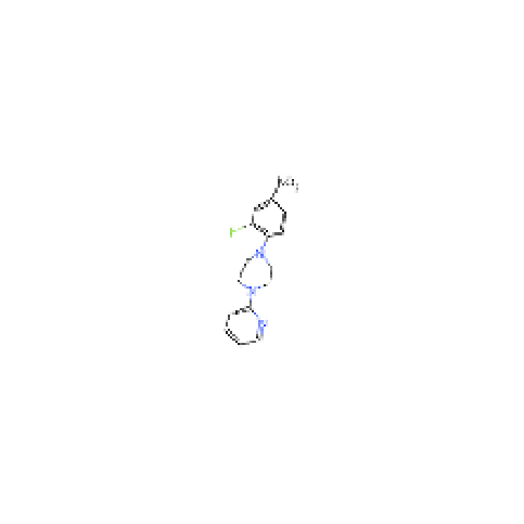 O=[N+]([O-])c1ccc(N2CCN(c3ccccn3)CC2)c(F)c1